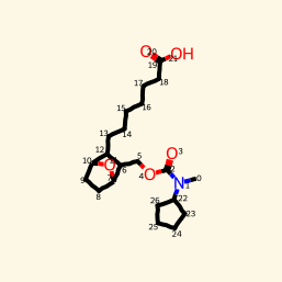 CN(C(=O)OCC1C2CCC(O2)C1CCCCCCC(=O)O)C1CCCC1